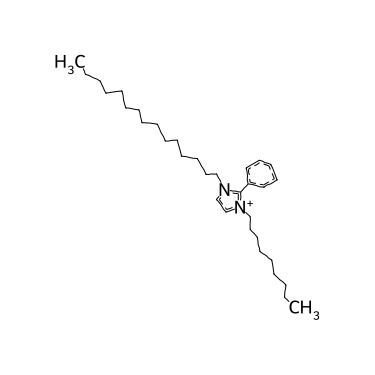 CCCCCCCCCCCCCCCn1cc[n+](CCCCCCCCC)c1-c1ccccc1